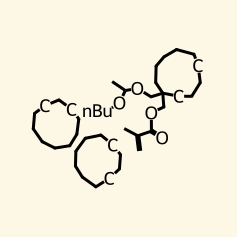 C1CCCCCCCCC1.C1CCCCCCCCC1.C=C(C)C(=O)OCC1(COC(C)OCCCC)CCCCCCCCC1